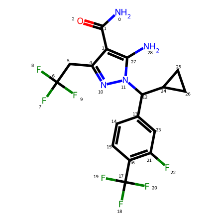 NC(=O)c1c(CC(F)(F)F)nn(C(c2ccc(C(F)(F)F)c(F)c2)C2CC2)c1N